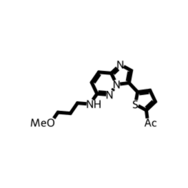 COCCCNc1ccc2ncc(-c3ccc(C(C)=O)s3)n2n1